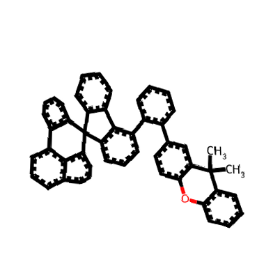 CC1(C)c2ccccc2Oc2ccc(-c3ccccc3-c3cccc4c3-c3ccccc3C43c4ccccc4-c4cccc5cccc3c45)cc21